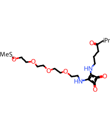 CSOCCOCCOCCOCCNc1c(NCCCC(=O)C(C)C)c(=O)c1=O